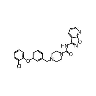 O=C(Nc1noc2ncccc12)N1CCN(Cc2cccc(Oc3ccccc3Cl)c2)CC1